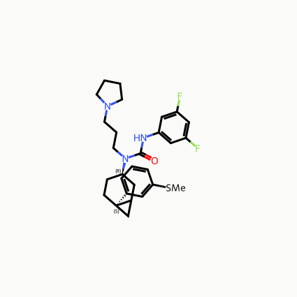 CSc1cccc([C@]23CC[C@@H](N(CCCN4CCCC4)C(=O)Nc4cc(F)cc(F)c4)CC2C3)c1